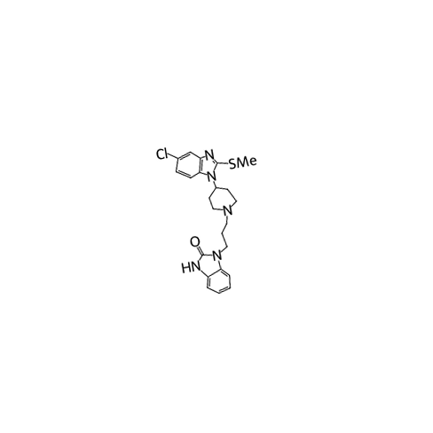 CSc1nc2cc(Cl)ccc2n1C1CCN(CCCn2c(=O)[nH]c3ccccc32)CC1